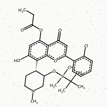 CCC(=O)Oc1cc(O)c([C@H]2CCN(C)CC2O[Si](C)(C)C(C)(C)C)c2oc(-c3ccccc3Cl)cc(=O)c12